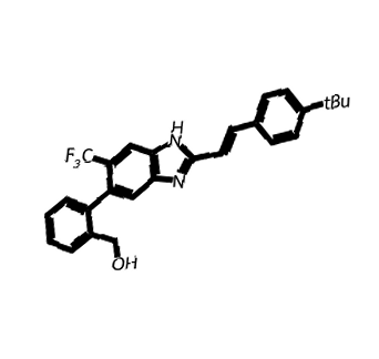 CC(C)(C)c1ccc(/C=C/c2nc3cc(-c4ccccc4CO)c(C(F)(F)F)cc3[nH]2)cc1